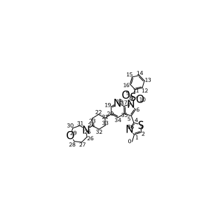 Cc1csc(-c2cn(S(=O)(=O)c3ccccc3)c3ncc(C4CCC(N5CCCOCC5)CC4)cc23)n1